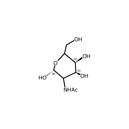 CC(=O)NC1[C@H](O)OC(CO)[C@@H](O)[C@H]1O